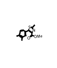 COC(=O)c1nc(C)sc1-c1ccc(C)c(C)c1